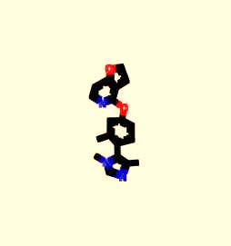 Cc1cc(Oc2nccc3occc23)ccc1-c1c(C)ncn1C